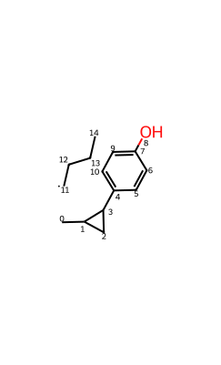 CC1CC1c1ccc(O)cc1.[CH2]CCC